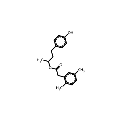 Cc1ccc(C)c(CC(=O)OC(C)CCc2ccc(O)cc2)c1